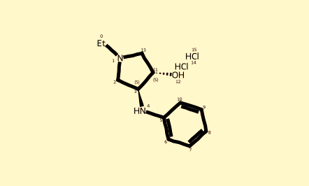 CCN1C[C@H](Nc2ccccc2)[C@@H](O)C1.Cl.Cl